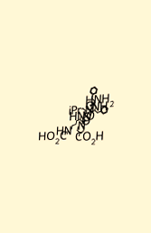 CC(C)CC(NC(=O)C(Cc1ccccc1)NC(=O)C(N)Cc1ccccc1)C(=O)NC(CCCCNCC(=O)O)C(=O)N1CCC(C(=O)O)CC1